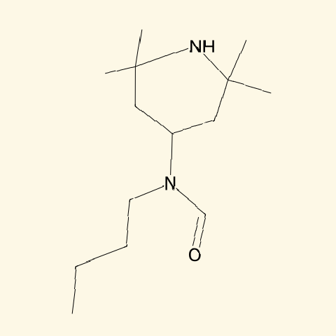 CCCCN(C=O)C1CC(C)(C)NC(C)(C)C1